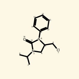 CC(C)N1CC(CCl)N(c2ccccc2)C1=O